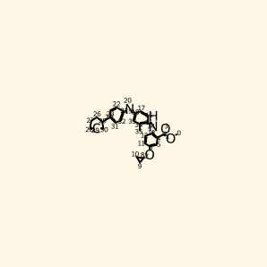 COC(=O)c1cc(OC2CC2)ccc1Nc1ccc(N(C)c2ccc(C3CCCCC3)cc2)cc1C